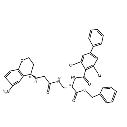 Nc1ccc2c(c1)[C@H](NCC(=O)NC[C@H](NC(=O)c1c(Cl)cc(-c3ccccc3)cc1Cl)C(=O)OCc1ccccc1)CCO2